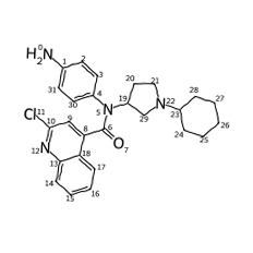 Nc1ccc(N(C(=O)c2cc(Cl)nc3ccccc23)C2CCN(C3CCCCC3)C2)cc1